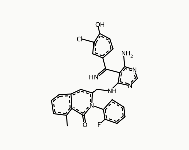 Cc1cccc2cc(CNc3ncnc(N)c3C(=N)c3ccc(O)c(Cl)c3)n(-c3ccccc3F)c(=O)c12